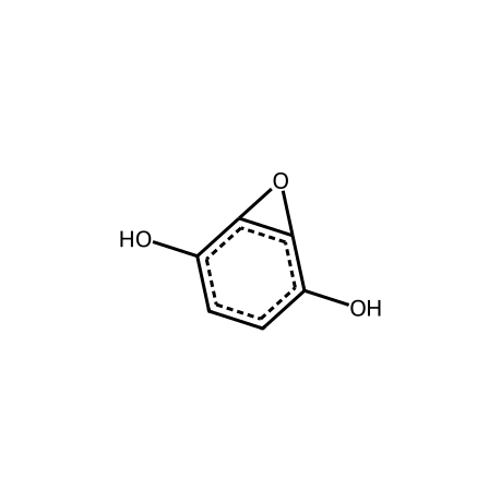 Oc1ccc(O)c2c1O2